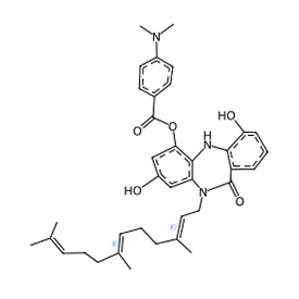 CC(C)=CCC/C(C)=C/CC/C(C)=C/CN1C(=O)c2cccc(O)c2Nc2c(OC(=O)c3ccc(N(C)C)cc3)cc(O)cc21